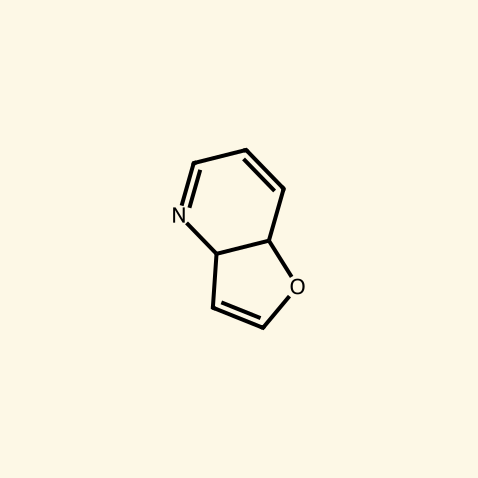 C1=CC2OC=CC2N=C1